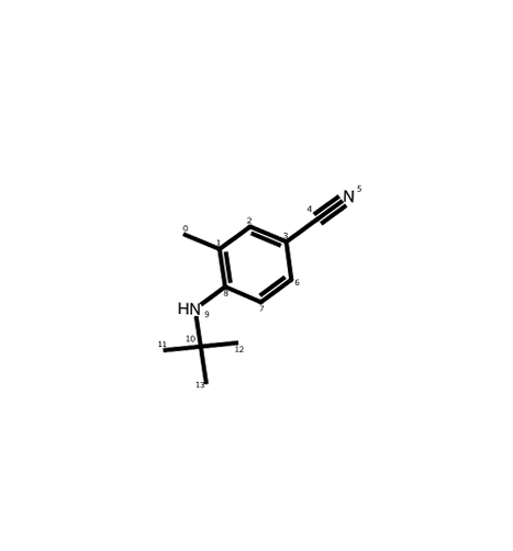 Cc1cc(C#N)ccc1NC(C)(C)C